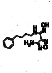 Nc1nonc1/C(=N/O)NCCCCc1ccccc1